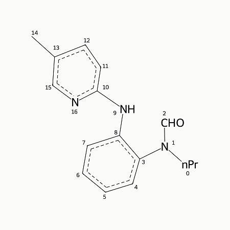 CCCN(C=O)c1ccccc1Nc1ccc(C)cn1